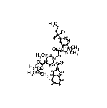 CCCC(F)(F)c1cc2c(nn1)C(C)(C)CN2C(=O)CN1C[C@@H](C)N(C(=O)OC(C)(C)C)C[C@H]1C(=O)N1Cc2ccccc2C1